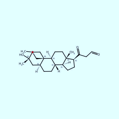 COC[C@]12CC[C@@](C)(O)C[C@@H]1CC[C@H]1[C@@H]3CC[C@H](C(=O)CC=O)[C@@]3(C)CC[C@@H]12